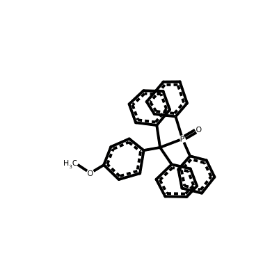 COc1ccc(C(c2ccccc2)(c2ccccc2)P(=O)(c2ccccc2)c2ccccc2)cc1